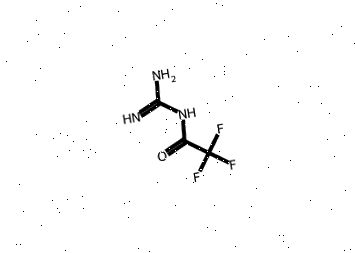 N=C(N)NC(=O)C(F)(F)F